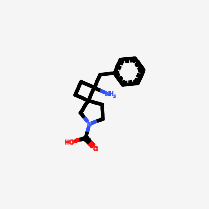 NC1(Cc2ccccc2)CCC12CCN(C(=O)O)C2